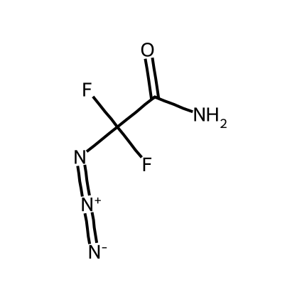 [N-]=[N+]=NC(F)(F)C(N)=O